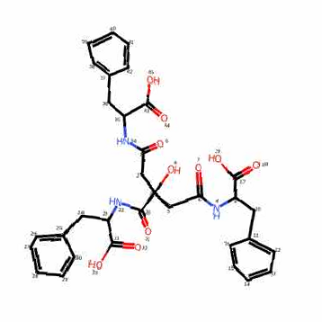 O=C(CC(O)(CC(=O)NC(Cc1ccccc1)C(=O)O)C(=O)NC(Cc1ccccc1)C(=O)O)NC(Cc1ccccc1)C(=O)O